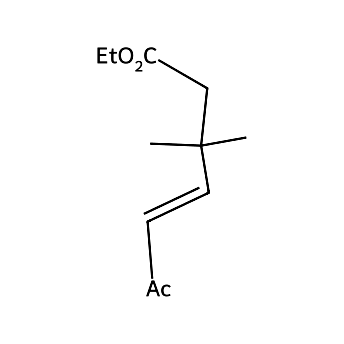 CCOC(=O)CC(C)(C)C=CC(C)=O